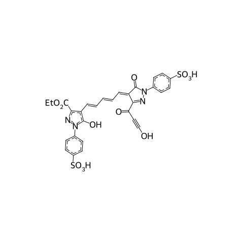 CCOC(=O)c1nn(-c2ccc(S(=O)(=O)O)cc2)c(O)c1C=CC=CC=C1C(=O)N(c2ccc(S(=O)(=O)O)cc2)N=C1C(=O)C#CO